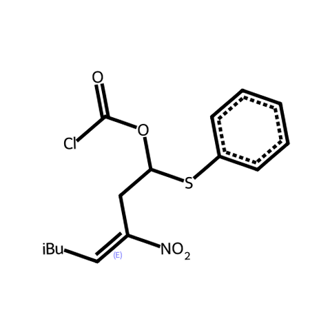 CCC(C)/C=C(\CC(OC(=O)Cl)Sc1ccccc1)[N+](=O)[O-]